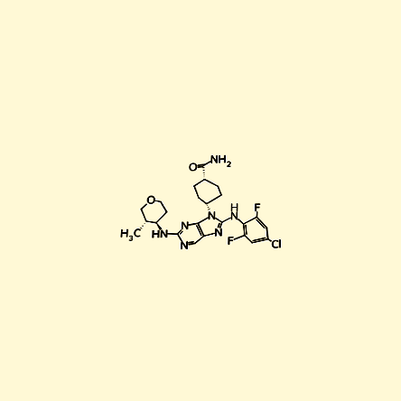 C[C@@H]1COCC[C@H]1Nc1ncc2nc(Nc3c(F)cc(Cl)cc3F)n([C@H]3CC[C@@H](C(N)=O)CC3)c2n1